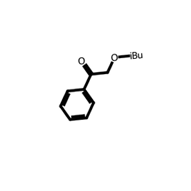 CCC(C)OCC(=O)c1ccccc1